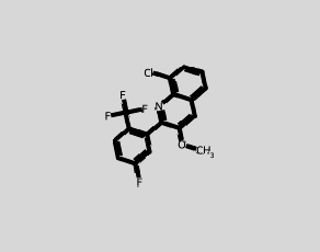 COc1cc2cccc(Cl)c2nc1-c1cc(F)ccc1C(F)(F)F